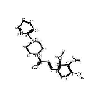 COc1ccc(/C=C/C(=O)N2CCN(c3ccccn3)CC2)c(OC)c1OC